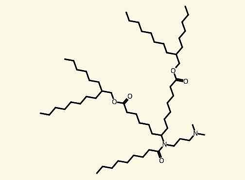 CCCCCCCCC(=O)N(CCCN(C)C)C(CCCCCCC(=O)OCC(CCCCCC)CCCCCCCC)CCCCCC(=O)OCC(CCCCCC)CCCCCCCC